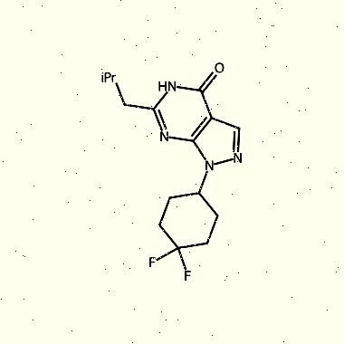 CC(C)Cc1nc2c(cnn2C2CCC(F)(F)CC2)c(=O)[nH]1